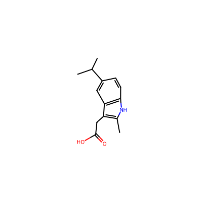 Cc1[nH]c2ccc(C(C)C)cc2c1CC(=O)O